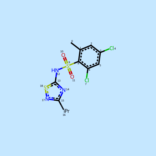 Cc1cc(Cl)cc(Cl)c1S(=O)(=O)Nc1nc(C(C)C)ns1